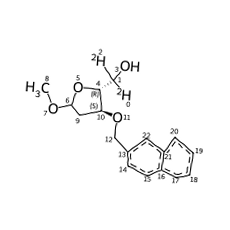 [2H]C([2H])(O)[C@H]1OC(OC)C[C@@H]1OCc1ccc2ccccc2c1